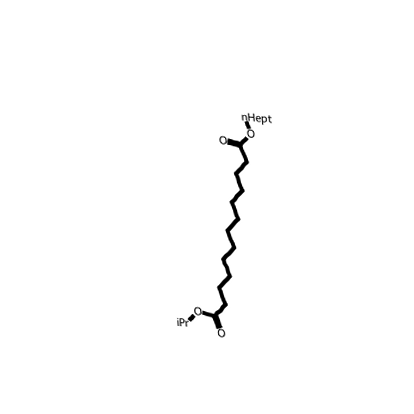 CCCCCCCOC(=O)CCCCCCCCCCCC(=O)OC(C)C